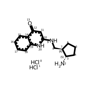 Cl.Cl.N[C@H]1CCC[C@@H]1CNc1cc(=O)c2ccccc2[nH]1